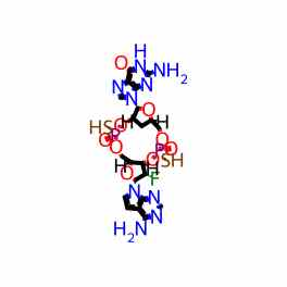 Nc1nc2c(ncn2[C@@H]2O[C@@H]3CO[P@@](=O)(S)O[C@H]4[C@H](F)[C@H](n5ccc6c(N)ncnc65)O[C@@H]4CO[P@@](=O)(S)O[C@@H]2C3)c(=O)[nH]1